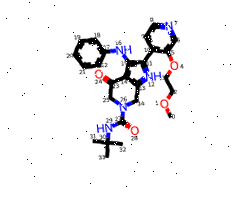 COCCOc1cnccc1-c1[nH]c2c(c1Nc1ccccc1)C(=O)CN(C(=O)NC(C)(C)C)C2